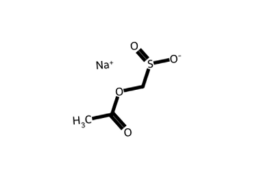 CC(=O)OCS(=O)[O-].[Na+]